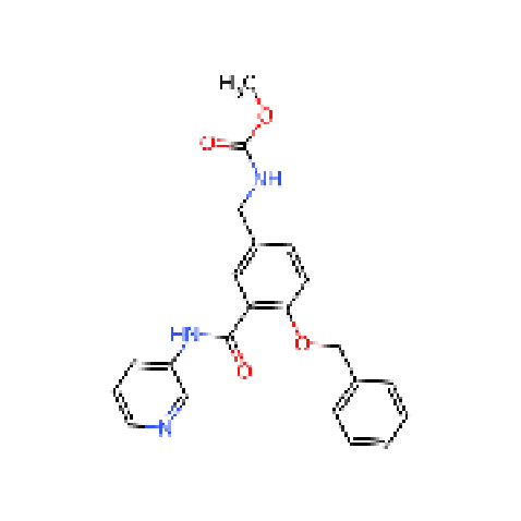 COC(=O)NCc1ccc(OCc2ccccc2)c(C(=O)Nc2cccnc2)c1